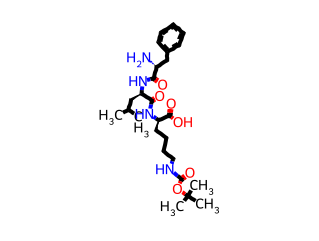 CC(C)C[C@@H](NC(=O)[C@H](N)Cc1ccccc1)C(=O)N[C@H](CCCCNC(=O)OC(C)(C)C)C(=O)O